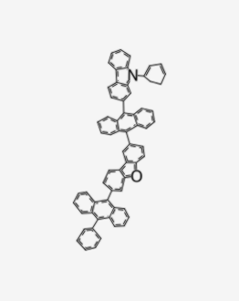 C1=CCCC(n2c3ccccc3c3ccc(-c4c5ccccc5c(-c5ccc6oc7cc(-c8c9ccccc9c(-c9ccccc9)c9ccccc89)ccc7c6c5)c5ccccc45)cc32)=C1